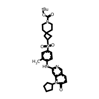 Cc1cc(S(=O)(=O)C2CC3(CCN(C(=O)OC(C)(C)C)CC3)C2)ccc1Nc1cc2c(ccc(=O)n2C2CCCC2)cn1